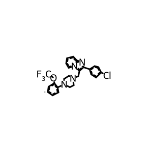 FC(F)(F)Oc1c[c]ccc1N1CCN(Cc2c(-c3ccc(Cl)cc3)nc3ccccn23)CC1